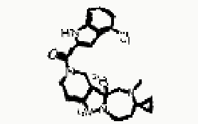 [2H]C12CN(C)C3(CCN1NC1CCN(C(=O)c4cc5c(Cl)cccc5[nH]4)CC12)CC3